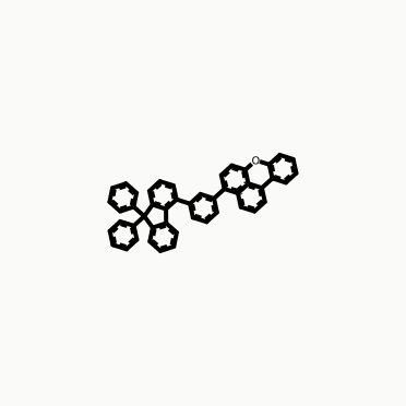 c1ccc(C2(c3ccccc3)c3ccccc3-c3c(-c4cccc(-c5ccc6c7c(cccc57)-c5ccccc5O6)c4)cccc32)cc1